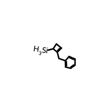 [SiH3]C1CC=C1Cc1ccccc1